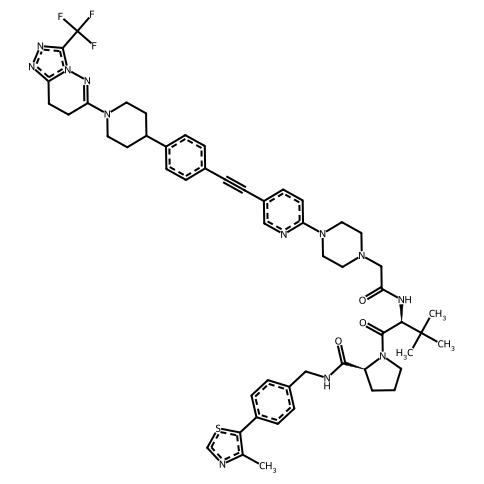 Cc1ncsc1-c1ccc(CNC(=O)[C@@H]2CCCN2C(=O)[C@@H](NC(=O)CN2CCN(c3ccc(C#Cc4ccc(C5CCN(C6=Nn7c(nnc7C(F)(F)F)CC6)CC5)cc4)cn3)CC2)C(C)(C)C)cc1